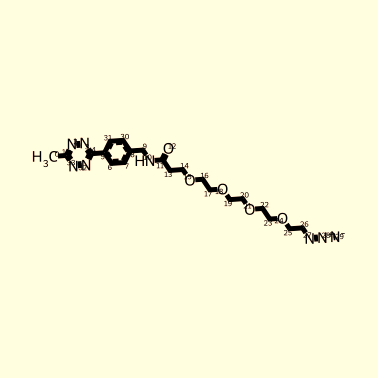 Cc1nnc(-c2ccc(CNC(=O)CCOCCOCCOCCOCCN=[N+]=[N-])cc2)nn1